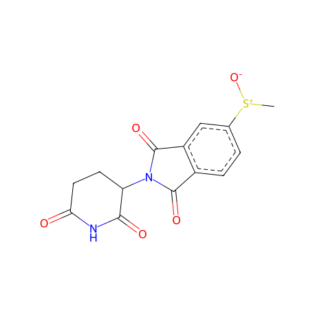 C[S+]([O-])c1ccc2c(c1)C(=O)N(C1CCC(=O)NC1=O)C2=O